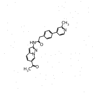 CC(=O)c1ccc2cc(NC(=O)Cc3ccc(-c4ccnc(C)c4)cc3)nn2c1